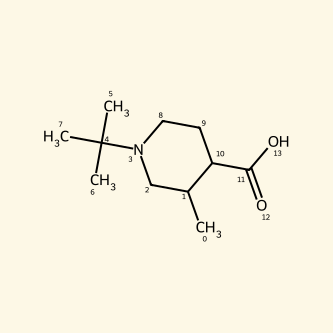 CC1CN(C(C)(C)C)CCC1C(=O)O